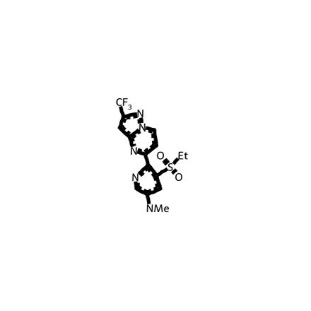 CCS(=O)(=O)c1cc(NC)cnc1-c1ccn2nc(C(F)(F)F)cc2n1